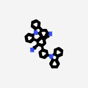 N#Cc1cc(-c2cccc(-n3c4ccccc4c4ccccc43)c2)c(C#N)c(-c2ccccc2-n2c3ccccc3c3ccccc32)c1